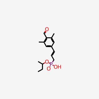 CCC(C)OP(=O)(O)CC=Cc1cc(C)c(C=O)c(C)c1